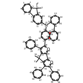 CC1(C)c2ccccc2-c2ccc(N(c3ccc(-c4oc5c(c4-c4ccccc4)C(C)(C)c4c-5oc(-c5ccccc5)c4-c4ccccc4)cc3)c3ccccc3-c3ccccc3)cc21